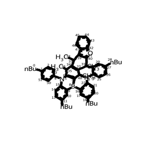 CCCCc1ccc(N2C3=C4B(c5cc(CCCC)ccc52)c2cc(CCCC)ccc2N2c5ccc(CCCC)cc5C5(C)C(=C(C3C)C(C)c3c5oc5ccccc35)C42C)cc1